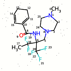 CN1CCN(CC(NC(=O)C2=CCCC=C2)(C(C)(F)F)C(F)(F)F)CC1